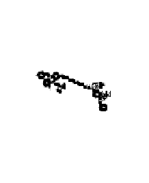 CC(C)N(CC[C@@H](c1ccccc1I)c1cc(C=CCCCCCCCCNC[C@H](O[Si](C)(C)C(C)(C)C)c2ccc(OCc3ccccc3)c(NS(C)(=O)=O)c2)ccc1OCc1ccccc1)C(C)C